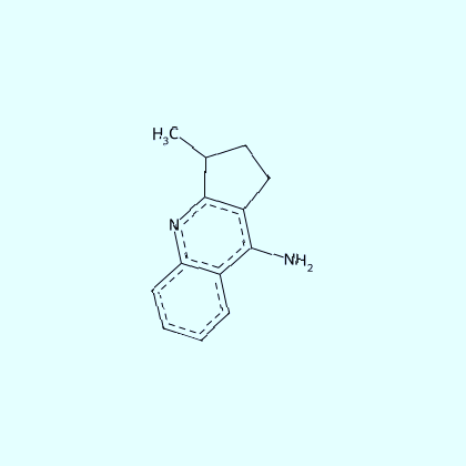 CC1CCc2c1nc1ccccc1c2N